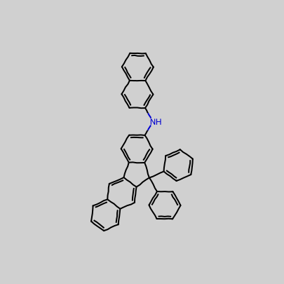 c1ccc(C2(c3ccccc3)c3cc(Nc4ccc5ccccc5c4)ccc3-c3cc4ccccc4cc32)cc1